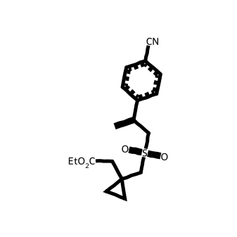 C=C(CS(=O)(=O)CC1(CC(=O)OCC)CC1)c1ccc(C#N)cc1